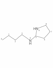 CCCCNC1CCCN1